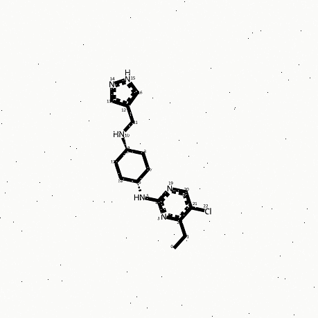 CCc1nc(N[C@H]2CC[C@H](NCc3cn[nH]c3)CC2)ncc1Cl